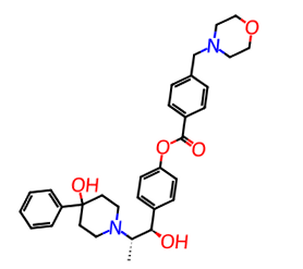 C[C@@H]([C@H](O)c1ccc(OC(=O)c2ccc(CN3CCOCC3)cc2)cc1)N1CCC(O)(c2ccccc2)CC1